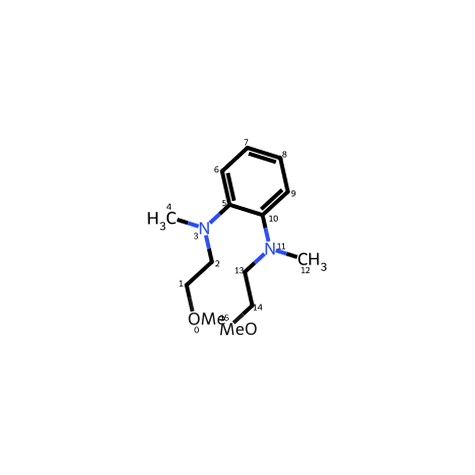 COCCN(C)c1ccccc1N(C)CCOC